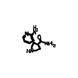 NC(=O)C1CCNCC1.Nc1ccccn1